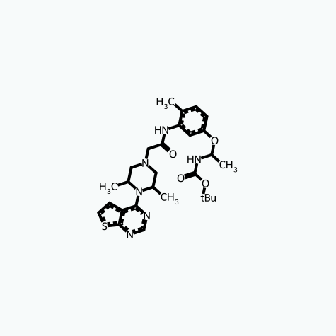 Cc1ccc(OC(C)NC(=O)OC(C)(C)C)cc1NC(=O)CN1CC(C)N(c2ncnc3sccc23)C(C)C1